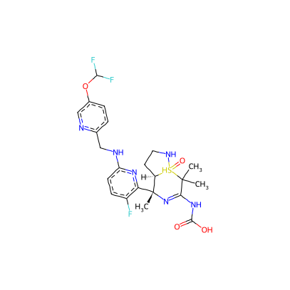 CC1(C)C(NC(=O)O)=N[C@](C)(c2nc(NCc3ccc(OC(F)F)cn3)ccc2F)[C@H]2CCN[SH]21=O